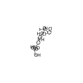 O=C(NS(=O)(=O)CCCO)c1ccc(N2C[C@@H]3C[C@H]2C[C@H]3OCc2c(-c3c(Cl)cccc3Cl)noc2C2CC2)cc1